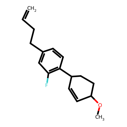 C=CCCc1ccc(C2C=CC(OC)CC2)c(F)c1